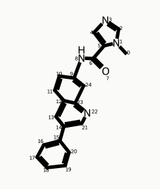 Cn1cncc1C(=O)Nc1ccc2cc(-c3ccccc3)cnc2c1